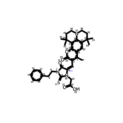 Cc1c(/C=C2\C(=O)N(CCc3ccccc3)C(=S)N2CC(=O)O)c(=O)oc2c3c4c(cc12)C(C)(C)CCN4CCC3(C)C